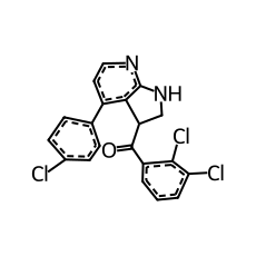 O=C(c1cccc(Cl)c1Cl)C1CNc2nccc(-c3ccc(Cl)cc3)c21